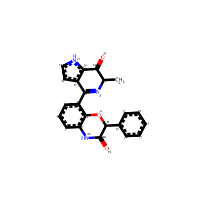 CC1N=C(c2cccc3c2OC(c2ccccc2)C(=O)N3)c2cc[nH]c2C1=O